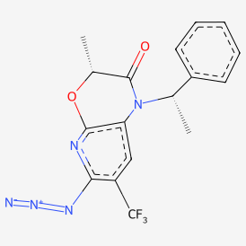 C[C@H]1Oc2nc(N=[N+]=[N-])c(C(F)(F)F)cc2N([C@@H](C)c2ccccc2)C1=O